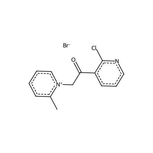 Cc1cccc[n+]1CC(=O)c1cccnc1Cl.[Br-]